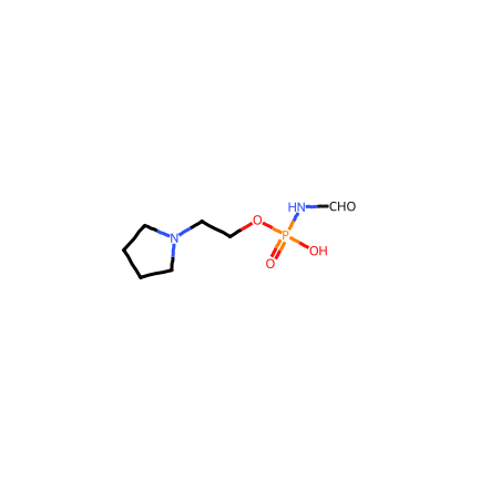 O=CNP(=O)(O)OCCN1CCCC1